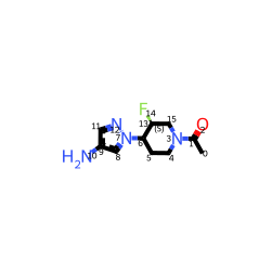 CC(=O)N1CCC(n2cc(N)cn2)[C@@H](F)C1